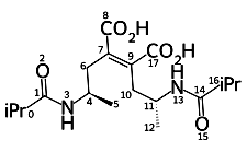 CC(C)C(=O)N[C@H](C)CC(C(=O)O)=C(C[C@@H](C)NC(=O)C(C)C)C(=O)O